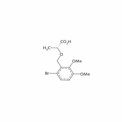 COc1ccc(Br)c(CO[C@H](C)C(=O)O)c1OC